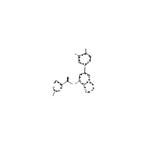 Cc1nc(C(=O)Nc2cc(-c3ccc(O)c(C)c3)cc3[nH]ncc23)cs1